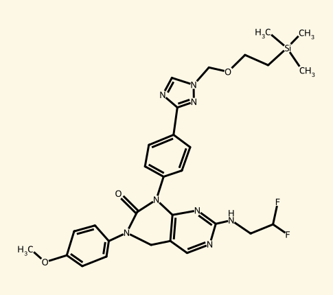 COc1ccc(N2Cc3cnc(NCC(F)F)nc3N(c3ccc(-c4ncn(COCC[Si](C)(C)C)n4)cc3)C2=O)cc1